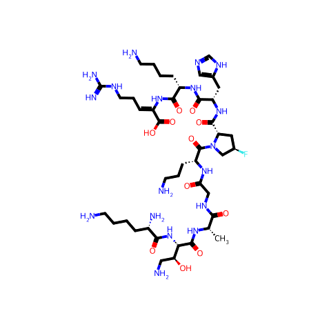 C[C@H](NC(=O)[C@@H](NC(=O)[C@@H](N)CCCCN)[C@@H](O)CN)C(=O)NCC(=O)N[C@H](CCCN)C(=O)N1C[C@H](F)C[C@H]1C(=O)N[C@@H](Cc1cnc[nH]1)C(=O)N[C@@H](CCCCN)C(=O)N/C(=C\CCNC(=N)N)C(=O)O